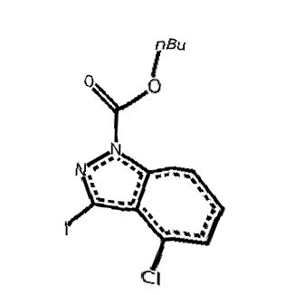 CCCCOC(=O)n1nc(I)c2c(Cl)cccc21